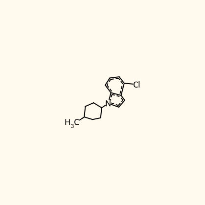 CC1CCC(n2ccc3c(Cl)cccc32)CC1